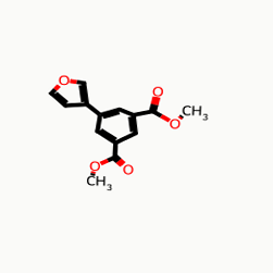 COC(=O)c1cc(C(=O)OC)cc(-c2ccoc2)c1